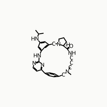 CC(C)Nc1cc2cc(c1)Nc1nccc(n1)-c1ccc(cc1)CN(C)CCCNC(=O)[C@@H]1CCCN1C2